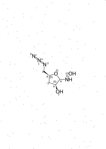 [N-]=[N+]=NC[C@@H]1C[C@H](O)C(NO)O1